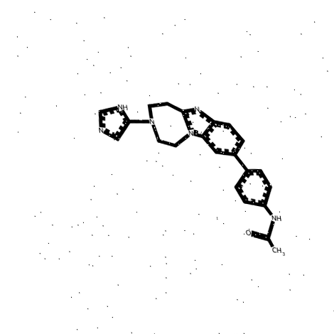 CC(=O)Nc1ccc(-c2ccc3nc4n(c3c2)CCN(c2cnc[nH]2)CC4)cc1